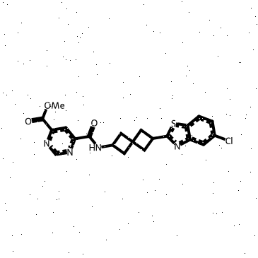 COC(=O)c1cc(C(=O)NC2CC3(C2)CC(c2nc4cc(Cl)ccc4s2)C3)ncn1